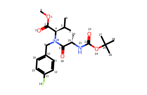 COC(=O)[C@@H](C(C)C)N(Cc1ccc(F)cc1)C(=O)[C@H](C)NC(=O)OC(C)(C)C